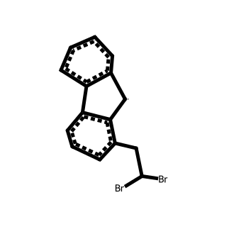 BrC(Br)Cc1cccc2c1[CH]c1ccccc1-2